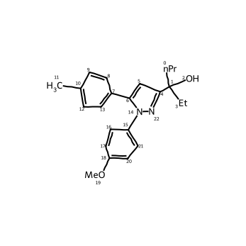 CCCC(O)(CC)c1cc(-c2ccc(C)cc2)n(-c2ccc(OC)cc2)n1